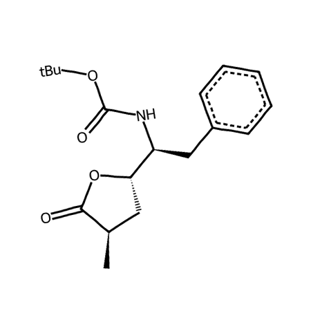 C[C@@H]1C[C@@H]([C@H](Cc2ccccc2)NC(=O)OC(C)(C)C)OC1=O